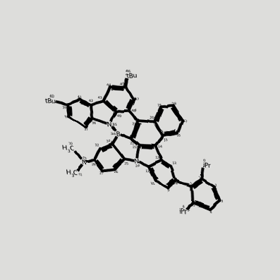 CC(C)c1cccc(C(C)C)c1-c1ccc2c(c1)c1c3ccccc3c3c4c1n2-c1ccc(N(C)C)cc1B4n1c2ccc(C(C)(C)C)cc2c2cc(C(C)(C)C)cc-3c21